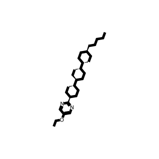 CCCCC[C@H]1CC[C@H]([C@H]2CC[C@H]([C@H]3CC[C@H](c4ncc(OCC)cn4)CC3)CC2)CC1